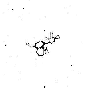 O=C1CCC(c2nn3c4c(c(O)ccc24)CCC3)C(=O)N1